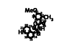 COc1cc(C)c(C2(C(=O)NS(=O)(=O)c3cccc4c3CCCN4)CC2)cn1